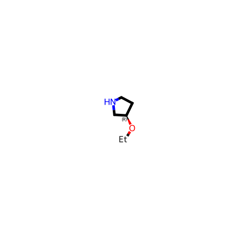 CCO[C@@H]1CCNC1